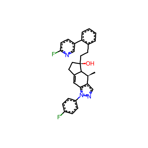 C[C@H]1c2cnn(-c3ccc(F)cc3)c2C=C2CC[C@](O)(CCc3ccccc3-c3ccc(F)nc3)C21